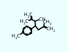 C=C(C)CC(c1ccc(C)cc1)C(C#N)C(=C)C